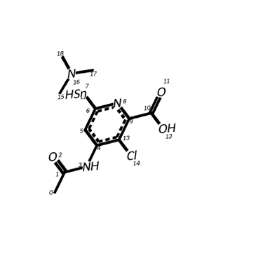 CC(=O)Nc1c[c]([SnH])nc(C(=O)O)c1Cl.CN(C)C